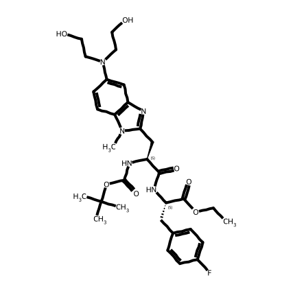 CCOC(=O)[C@H](Cc1ccc(F)cc1)NC(=O)[C@H](Cc1nc2cc(N(CCO)CCO)ccc2n1C)NC(=O)OC(C)(C)C